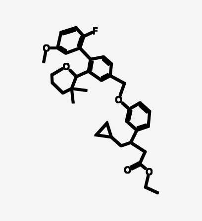 CCOC(=O)CC(CC1CC1)c1cccc(OCc2ccc(-c3cc(OC)ccc3F)c(C3OCCCC3(C)C)c2)c1